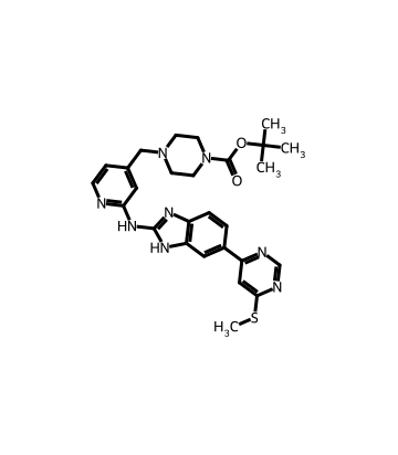 CSc1cc(-c2ccc3nc(Nc4cc(CN5CCN(C(=O)OC(C)(C)C)CC5)ccn4)[nH]c3c2)ncn1